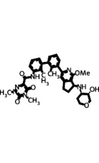 COc1nc(-c2cccc(-c3cccc(NC(=O)c4nn(C)c(=O)n(C)c4=O)c3C)c2C)cc2c1C(N[C@@H]1CCOC[C@H]1O)CC2